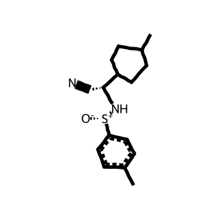 Cc1ccc([S@+]([O-])N[C@H](C#N)C2CCC(C)CC2)cc1